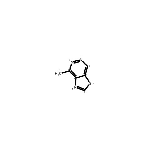 Cc1nncc2s[c]nc12